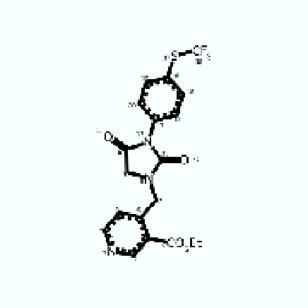 CCOC(=O)c1cnccc1CN1CC(=O)N(c2ccc(SC(F)(F)F)cc2)C1=O